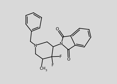 CC1CN(Cc2ccccc2)CC(N2C(=O)c3ccccc3C2=O)C1(F)F